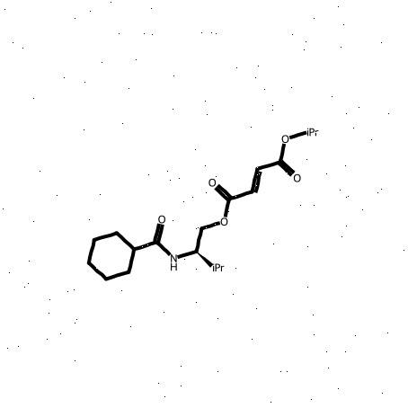 CC(C)OC(=O)/C=C/C(=O)OC[C@H](NC(=O)C1CCCCC1)C(C)C